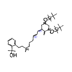 C=C1/C(=C\C=C\CCC[C@@H](C)CCc2ccccc2C(C)(C)O)C[C@@H](O[Si](C)(C)C(C)(C)C)C[C@@H]1O[Si](C)(C)C(C)(C)C